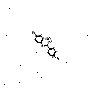 CC(=O)C(Oc1ccc(Br)cc1[N+](=O)[O-])c1ccc(C(C)C)cc1